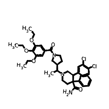 CCOc1cc(C(=O)N2CCC(C(C)N3CCC(C(N)=O)(c4ccccc4)C(c4ccc(Cl)c(Cl)c4)C3)C2)cc(OCC)c1OCC